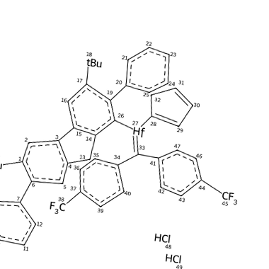 CC(C)(C)c1cc2c(cc1-c1ccccc1)Cc1c-2cc(C(C)(C)C)c(-c2ccccc2)[c]1[Hf]([C]1=CC=CC1)=[C](c1ccc(C(F)(F)F)cc1)c1ccc(C(F)(F)F)cc1.Cl.Cl